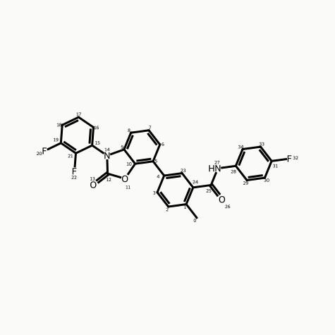 Cc1ccc(-c2cccc3c2oc(=O)n3-c2cccc(F)c2F)cc1C(=O)Nc1ccc(F)cc1